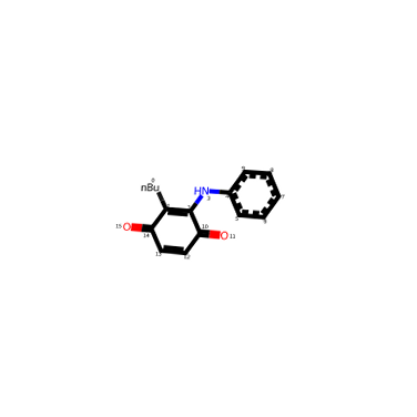 CCCCC1=C(Nc2ccccc2)C(=O)C=CC1=O